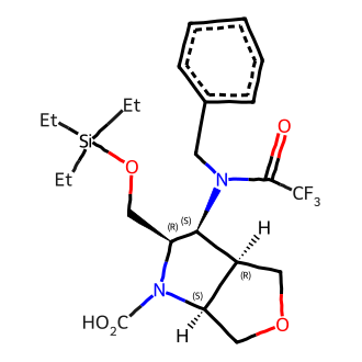 CC[Si](CC)(CC)OC[C@H]1[C@@H](N(Cc2ccccc2)C(=O)C(F)(F)F)[C@H]2COC[C@H]2N1C(=O)O